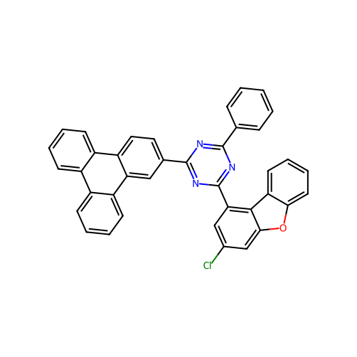 Clc1cc(-c2nc(-c3ccccc3)nc(-c3ccc4c5ccccc5c5ccccc5c4c3)n2)c2c(c1)oc1ccccc12